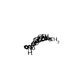 COCn1cc2cc(CC(OC(=O)N3CCC(c4cc5ccccc5[nH]c4=O)CC3)C(=O)OC)cc(C)c2n1